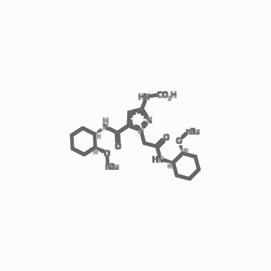 CCCCO[C@H]1CCCC[C@@H]1NC(=O)c1cc(NC(=O)O)nn1CC(=O)N[C@@H]1CCCC[C@H]1OCCCC